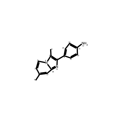 Cc1ccn2c(C)c(-c3ccc(N)cc3)nc2c1